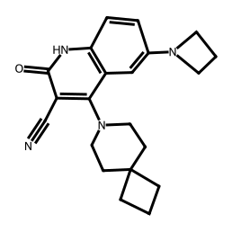 N#Cc1c(N2CCC3(CCC3)CC2)c2cc(N3CCC3)ccc2[nH]c1=O